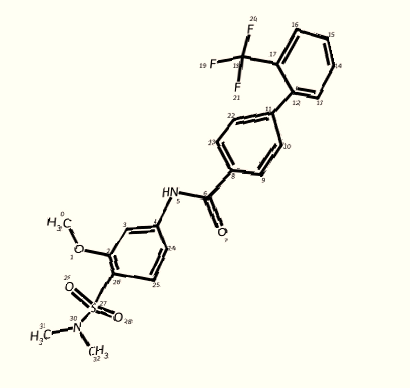 COc1cc(NC(=O)c2ccc(-c3ccccc3C(F)(F)F)cc2)ccc1S(=O)(=O)N(C)C